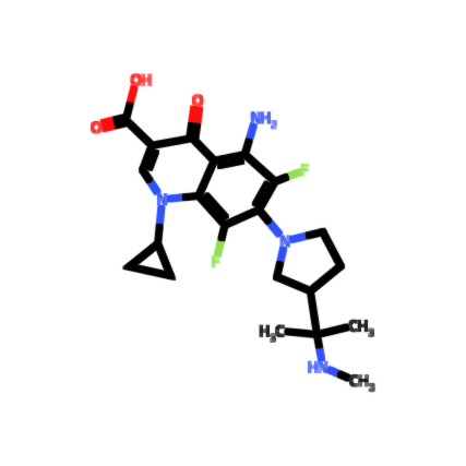 CNC(C)(C)C1CCN(c2c(F)c(N)c3c(=O)c(C(=O)O)cn(C4CC4)c3c2F)C1